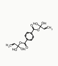 C=CC(O)(O)OC(=O)c1ccc(C(=O)OC(O)(O)C=C)cc1